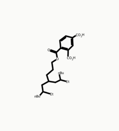 CCCCC(CC)CC(CCCOC(=O)c1ccc(C(=O)O)cc1C(=O)O)CC(CC)CCCC